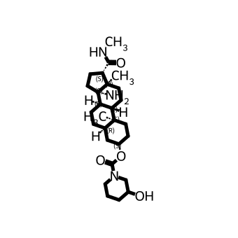 CNC(=O)[C@H]1CC[C@]2(N)[C@@H]3CC[C@@H]4C[C@@H](OC(=O)N5CCCC(O)C5)CC[C@]4(C)[C@H]3CC[C@]12C